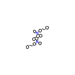 C(=Cc1ccc(N(c2ccccc2)c2cc3c4ccccc4c(N(c4ccccc4)c4ccc(C=Cc5ccccc5)cc4)cc3c3ccccc23)cc1)c1ccccc1